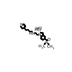 CCN(CC)C(=O)c1ccc2c(ccn2CCNCCCCc2ccncc2)c1.Cl.Cl